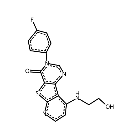 O=c1c2sc3nccc(NCCO)c3c2ncn1-c1ccc(F)cc1